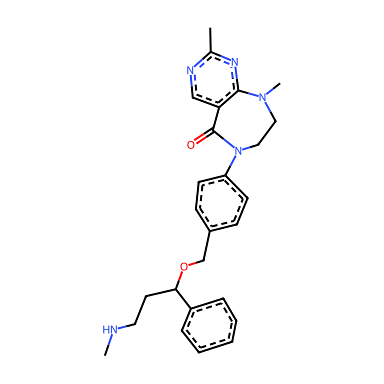 CNCCC(OCc1ccc(N2CCN(C)c3nc(C)ncc3C2=O)cc1)c1ccccc1